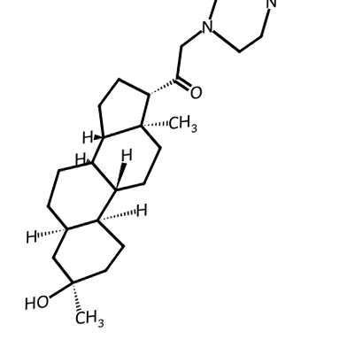 CN1CCN(CC(=O)[C@H]2CC[C@H]3[C@@H]4CC[C@@H]5C[C@](C)(O)CC[C@@H]5[C@H]4CC[C@]23C)CC1